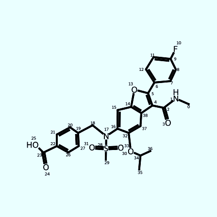 CNC(=O)c1c(-c2ccc(F)cc2)oc2cc(N(Cc3ccc(C(=O)O)cc3)S(C)(=O)=O)c(OC(C)C)cc12